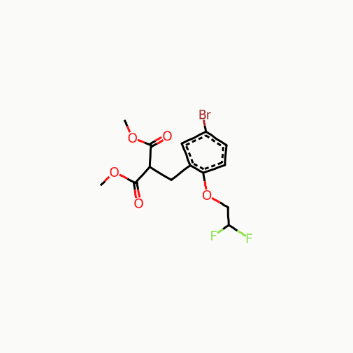 COC(=O)C(Cc1cc(Br)ccc1OCC(F)F)C(=O)OC